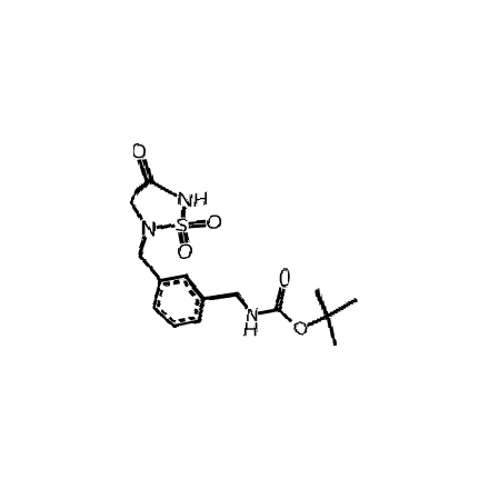 CC(C)(C)OC(=O)NCc1cccc(CN2CC(=O)NS2(=O)=O)c1